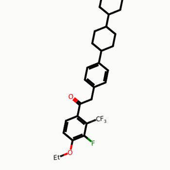 CCOc1ccc(C(=O)Cc2ccc(C3CCC(C4CCCCC4)CC3)cc2)c(C(F)(F)F)c1F